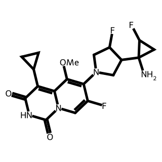 COc1c(N2CC(F)C(C3(N)CC3F)C2)c(F)cn2c(=O)[nH]c(=O)c(C3CC3)c12